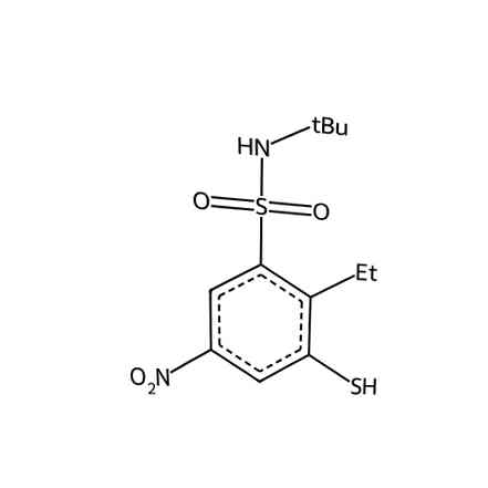 CCc1c(S)cc([N+](=O)[O-])cc1S(=O)(=O)NC(C)(C)C